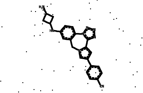 N#Cc1ccc(-c2cc3n(c2)Cc2cc(NC4CC(N)C4)ccc2-n2nnnc2-3)cc1